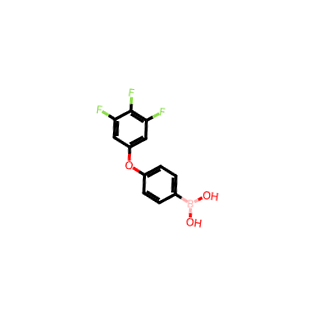 OB(O)c1ccc(Oc2cc(F)c(F)c(F)c2)cc1